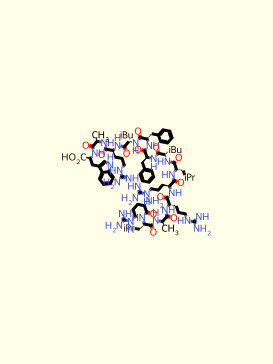 CC[C@H](C)[C@H](NC(=O)[C@H](Cc1ccccc1)NC(=O)[C@H](Cc1ccccc1)NC(=O)[C@@H](NC(=O)[C@H](CC(C)C)NC(=O)[C@H](CCCNC(=N)N)NC(=O)[C@H](CCCNC(=N)N)NC(=O)[C@H](C)NC(=O)[C@H](CC(C)C)NC(=O)[C@@H](N)CCCNC(=N)N)[C@@H](C)CC)C(=O)N[C@@H](CCCNC(=N)N)C(=O)N[C@@H](C)C(=O)N[C@@H](Cc1c[nH]c2ccccc12)C(=O)O